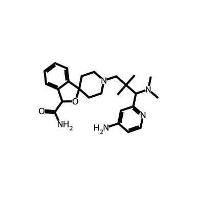 CN(C)C(c1cc(N)ccn1)C(C)(C)CN1CCC2(CC1)OC(C(N)=O)c1ccccc12